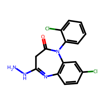 NNC1=Nc2ccc(Cl)cc2N(c2ccccc2Cl)C(=O)C1